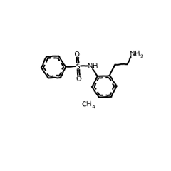 C.NCCc1ccccc1NS(=O)(=O)c1ccccc1